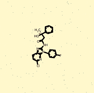 C[C@@](O)(CC(=O)Nc1nc2ccc(Cl)nc2n1-c1ccc(F)cc1)c1ccccc1